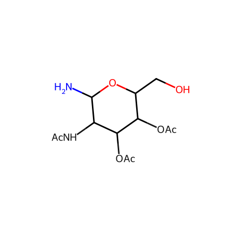 CC(=O)NC1C(N)OC(CO)C(OC(C)=O)C1OC(C)=O